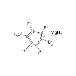 Fc1c(F)c(C(F)(F)F)c(F)c(F)c1Br.[MgH2]